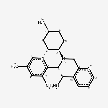 Cc1cnc(CN(Cc2ncccc2CO)[C@H]2CC[C@H](N)CC2)c(C)c1